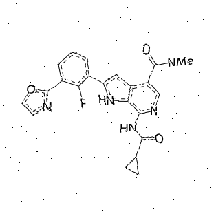 CNC(=O)c1cnc(NC(=O)C2CC2)c2[nH]c(-c3cccc(-c4ncco4)c3F)cc12